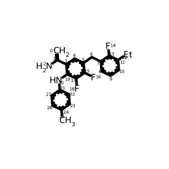 C=C(N)c1cc(Cc2cccc(CC)c2F)c(F)c(F)c1Nc1ccc(C)cc1